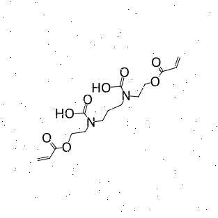 C=CC(=O)OCCN(CCCN(CCOC(=O)C=C)C(=O)O)C(=O)O